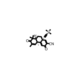 CC1=C[C@]2(C)C3=CC(=O)C(C#N)=C[C@]3(C#C[Si](C)(C)C)CC[C@H]2C(C)(C)C1=O